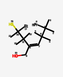 CCCC(C)(C)C(C)(C)/C=C(/CO)C(C)(C)C(C)(S)CC